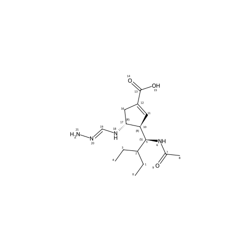 CCC(CC)[C@H](NC(C)=O)[C@@H]1C=C(C(=O)O)C[C@H]1NC=NN